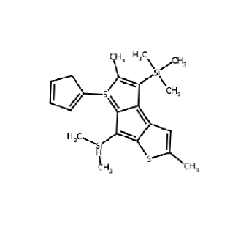 CC1=C([Si](C)(C)C)C2=c3cc(C)sc3=C([SiH](C)C)C2=S1C1=CC=CC1